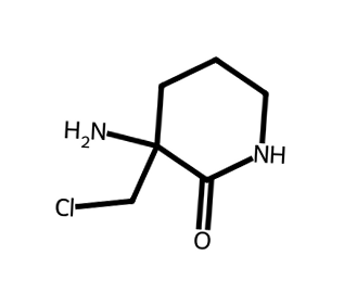 NC1(CCl)CCCNC1=O